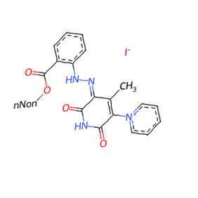 CCCCCCCCCOC(=O)c1ccccc1NN=C1C(=O)NC(=O)C([n+]2ccccc2)=C1C.[I-]